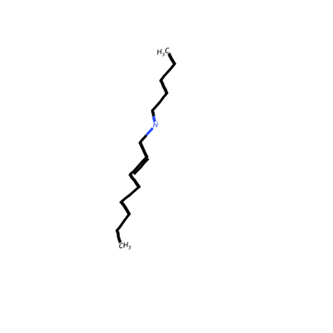 CCCCC/C=C/C[N]CCCCC